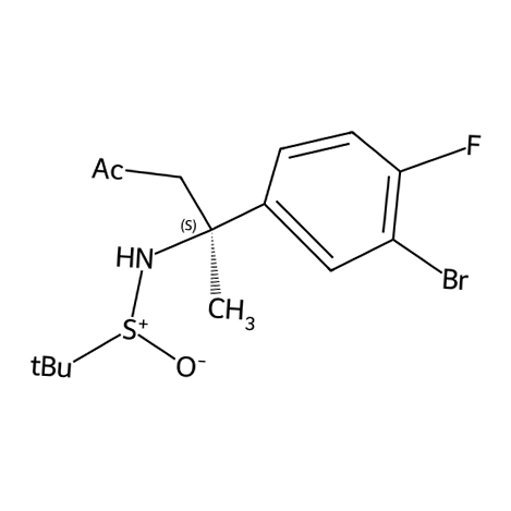 CC(=O)C[C@](C)(N[S+]([O-])C(C)(C)C)c1ccc(F)c(Br)c1